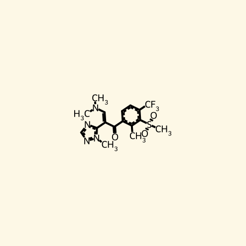 Cc1c(C(=O)C(=CN(C)C)c2ncnn2C)ccc(C(F)(F)F)c1S(C)(=O)=O